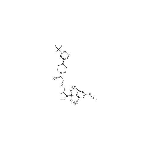 COc1cc(C)c(S(=O)(=O)N2CCCC2COCC(=O)N2CCN(c3cccc(C(F)(F)F)c3)CC2)c(C)c1